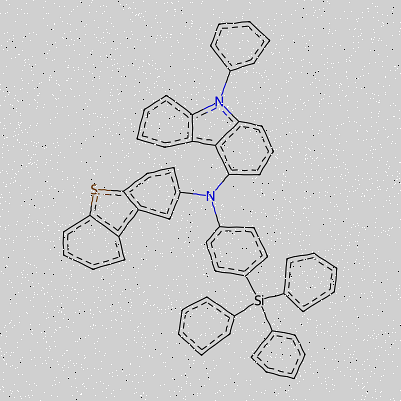 c1ccc(-n2c3ccccc3c3c(N(c4ccc([Si](c5ccccc5)(c5ccccc5)c5ccccc5)cc4)c4ccc5sc6ccccc6c5c4)cccc32)cc1